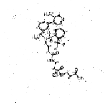 Cc1cnccc1-c1cccc([C@H](C)N(CCCC(=O)NCCS(=O)(=O)NCCC(=O)O)S(=O)(=O)c2ccccc2C(F)(F)F)c1